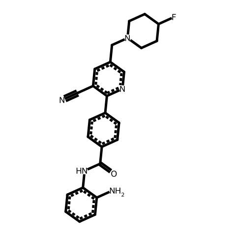 N#Cc1cc(CN2CCC(F)CC2)cnc1-c1ccc(C(=O)Nc2ccccc2N)cc1